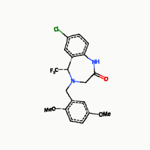 COc1ccc(OC)c(CN2CC(=O)Nc3ccc(Cl)cc3C2C(F)(F)F)c1